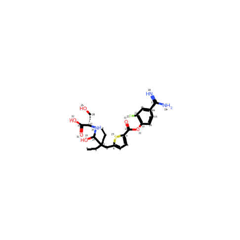 CCC(CC)(Cc1ccc(C(=O)Oc2ccc(C(=N)N)cc2F)s1)C(O)N[C@@H](CO)C(=O)O